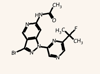 CC(=O)Nc1cc2c(cn1)c(Br)nn2-c1cncc(C(C)(C)F)n1